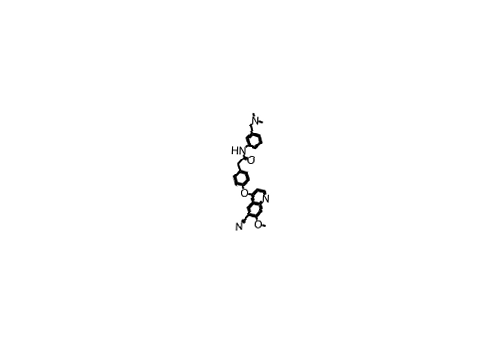 COc1cc2nccc(Oc3ccc(CC(=O)Nc4cccc(CN(C)C)c4)cc3)c2cc1C#N